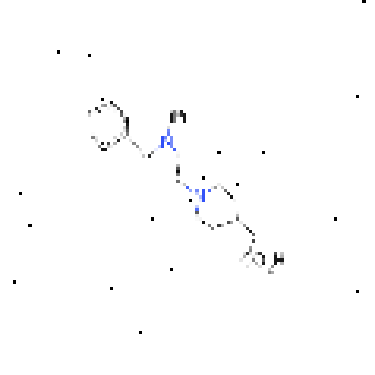 CC(C)N(CCN1CCC(CC(=O)O)CC1)Cc1ccccc1